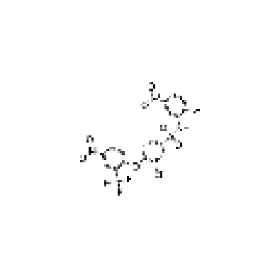 O=[N+]([O-])c1ccc(F)c(NS(=O)(=O)c2ccc(Oc3ccc([N+](=O)[O-])cc3C(F)(F)F)c(Cl)c2)c1